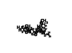 COc1ccc2c(c1)C13CCN(CC4CC4)C(C2)C12CCC1C3[C@H](CN1C(=O)C1CCN(C(=O)OC(C)(C)C)CC1)C2